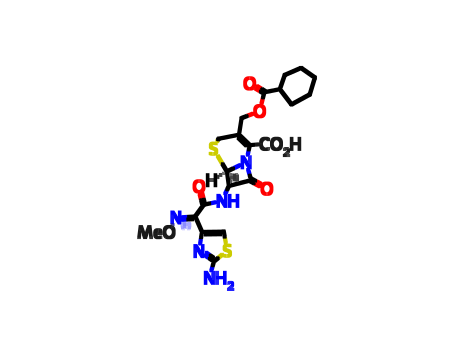 CO/N=C(/C(=O)NC1C(=O)N2C(C(=O)O)=C(COC(=O)C3CCCCC3)CS[C@H]12)c1csc(N)n1